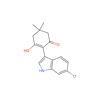 CC1(C)CC(=O)C(c2c[nH]c3cc(Cl)ccc23)=C(O)C1